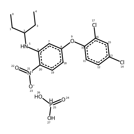 CCC(CC)Nc1cc(Oc2ccc(Cl)cc2Cl)ccc1[N+](=O)[O-].O=[PH](O)O